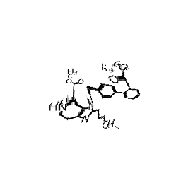 CCCCc1nc2c(n1Cc1ccc(-c3ccccc3C(=O)OC)cc1)C(C(=O)OC)NCC2